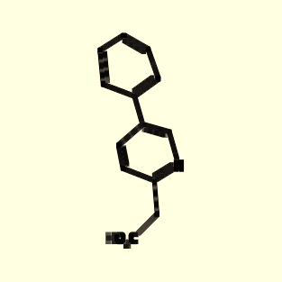 O=C(O)Cc1ccc(-c2ccccc2)cn1